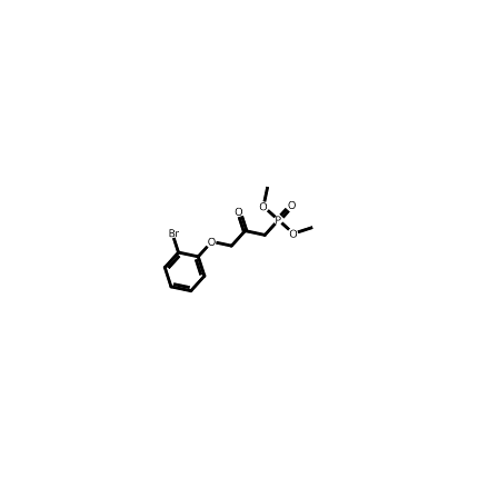 COP(=O)(CC(=O)COc1ccccc1Br)OC